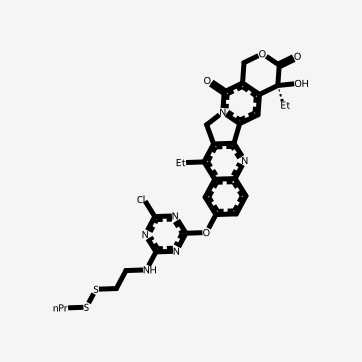 CCCSSCCNc1nc(Cl)nc(Oc2ccc3nc4c(c(CC)c3c2)Cn2c-4cc3c(c2=O)COC(=O)[C@]3(O)CC)n1